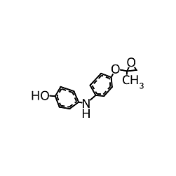 CC1(Oc2ccc(Nc3ccc(O)cc3)cc2)CO1